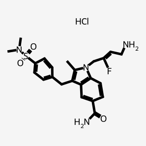 Cc1c(Cc2ccc(S(=O)(=O)N(C)C)cc2)c2cc(C(N)=O)ccc2n1C/C(F)=C/CN.Cl